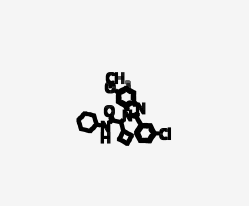 COc1ccc2nc(-c3cccc(Cl)c3)n(C(C(=O)NC3CCCCC3)C3CCC3)c2c1